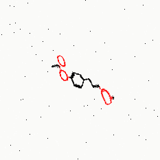 COCCCc1ccc(OC(C)=O)cc1